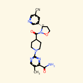 Cc1cnc(N2CCC(C(=O)N3OCC[C@H]3c3cncc(C#N)c3)CC2)nc1C(N)=O